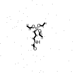 CCO[Si](CCCN[C]=O)(OCC)OCC